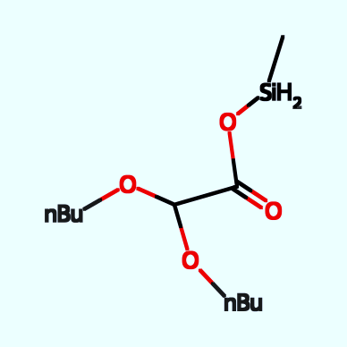 CCCCOC(OCCCC)C(=O)O[SiH2]C